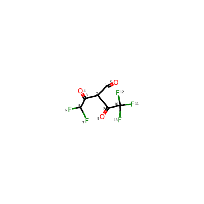 O=CC(C(=O)C(F)F)C(=O)C(F)(F)F